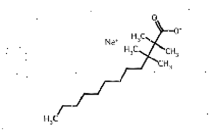 CCCCCCCCCC(C)(C)C(C)(C)C(=O)[O-].[Na+]